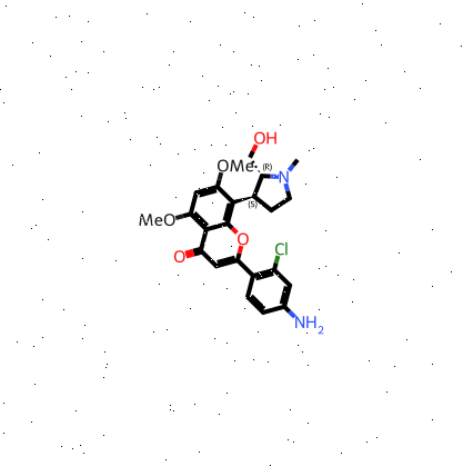 COc1cc(OC)c2c(=O)cc(-c3ccc(N)cc3Cl)oc2c1[C@@H]1CCN(C)[C@H]1CO